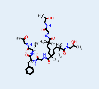 CCC(C)(CCCC(C)(CCCC(C)(C)C(=O)NCC(C)O)C(=O)NCC(=O)N[C@@H](Cc1ccccc1)C(=O)N[C@@H](CC(C)C)C(=O)NCC(=O)C(C)C)C(=O)NCC(=O)NCC(C)O